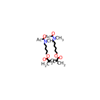 C=C(C)C(=O)OCCCCCCN(C)C(=O)C(C)=O.C=C(C)C(=O)OCCCCCN(C)C(=O)C(C)=O